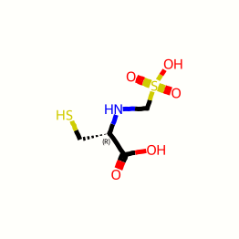 O=C(O)[C@H](CS)NCS(=O)(=O)O